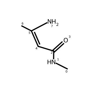 CNC(=O)/C=C(/C)N